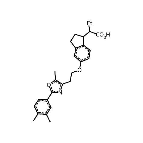 CCC(C(=O)O)C1CCc2cc(OCCc3nc(-c4ccc(C)c(C)c4)oc3C)ccc21